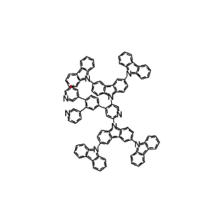 c1cncc(-c2ccc(-c3cc(-n4c5ccc(-n6c7ccccc7c7ccccc76)cc5c5cc(-n6c7ccccc7c7ccccc76)ccc54)ncc3-n3c4ccc(-n5c6ccccc6c6ccccc65)cc4c4cc(-n5c6ccccc6c6ccccc65)ccc43)cc2-c2cccnc2)c1